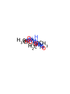 C=CC(=O)Nc1cc(Nc2nc(-c3ccnc(N4CCn5c(cc6c5CC(C)(C)C6)C4=O)c3CO)cn(C)c2=O)ccc1N1CCC(N2CCOCC2)CC1C